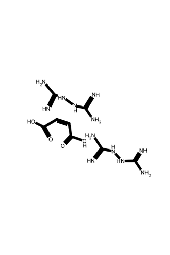 N=C(N)NNC(=N)N.N=C(N)NNC(=N)N.O=C(O)/C=C\C(=O)O